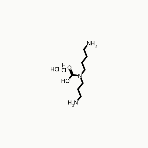 Cl.Cl.NCCCCN(CCCN)C(=O)O